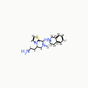 NCCCCN(Cc1nccs1)C[C@H]1Cc2ccccc2CN1